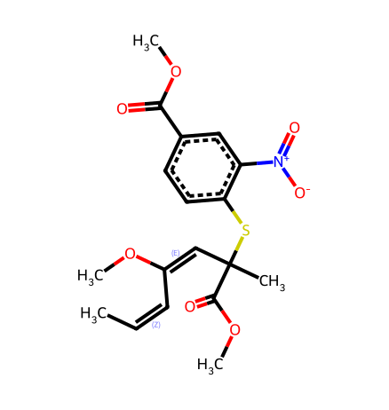 C/C=C\C(=C/C(C)(Sc1ccc(C(=O)OC)cc1[N+](=O)[O-])C(=O)OC)OC